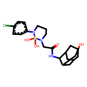 O=C(CN1CCCN(c2ccc(Cl)cc2)S1(O)O)NC1C2CC3CC1CC(O)(C3)C2